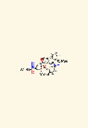 CNC(=O)Nc1ccc2c(c1)C(=O)C(=Cc1c(-c3c(OC)cccc3OC)[nH]c3ccc(OC)cc13)O2